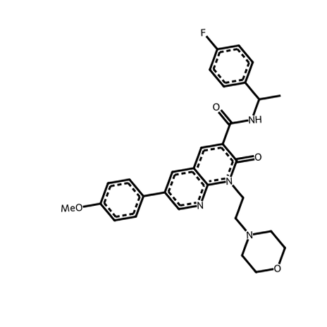 COc1ccc(-c2cnc3c(c2)cc(C(=O)NC(C)c2ccc(F)cc2)c(=O)n3CCN2CCOCC2)cc1